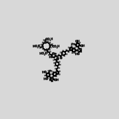 CC(C)c1cc(-c2nnc(O)n2-c2ccc3c(ccn3CCC3CCN(C(=O)CNC(=O)[C@H](CC(=O)N4CCC(CCn5ccc6cc(-n7c(O)nnc7-c7cc(C(C)C)c(O)cc7O)ccc65)CC4)NC(=O)CC[C@H](C(=O)O)N4CCN(CC(=O)O)CCN(CC(=O)O)CCN(CC(=O)O)CC4)CC3)c2)c(O)cc1O